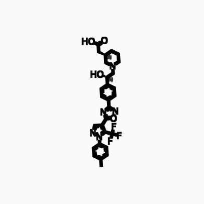 Cc1ccc(-n2ncc(-c3nc(-c4ccc([C@H](O)CN5CCC[C@H](CC(=O)O)C5)cc4)no3)c2C(F)(F)F)cc1